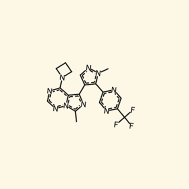 Cc1nc(-c2cnn(C)c2-c2cnc(C(F)(F)F)cn2)c2c(N3CCC3)ncnn12